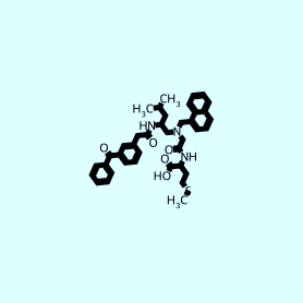 CSCCC(NC(=O)CN(Cc1cccc2ccccc12)CC(CC(C)C)NC(=O)Cc1cccc(C(=O)c2ccccc2)c1)C(=O)O